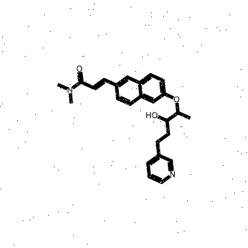 CC(Oc1ccc2cc(/C=C/C(=O)N(C)C)ccc2c1)C(O)CCc1cccnc1